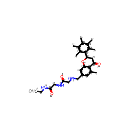 Cc1cc(CNCC(=O)NCC(=O)NCC=O)cc2c1C(=O)CC(c1c(C)c(C)c(C)c(C)c1C)O2